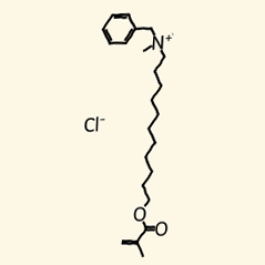 C=C(C)C(=O)OCCCCCCCCCCC[N+](C)(C)Cc1ccccc1.[Cl-]